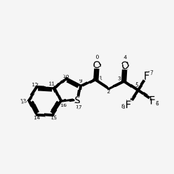 O=C(CC(=O)C(F)(F)F)c1cc2ccccc2s1